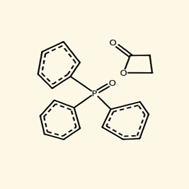 O=C1CCO1.O=P(c1ccccc1)(c1ccccc1)c1ccccc1